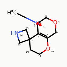 CN1CC2(COCC3=C2C2(CCO3)CNC2)C1